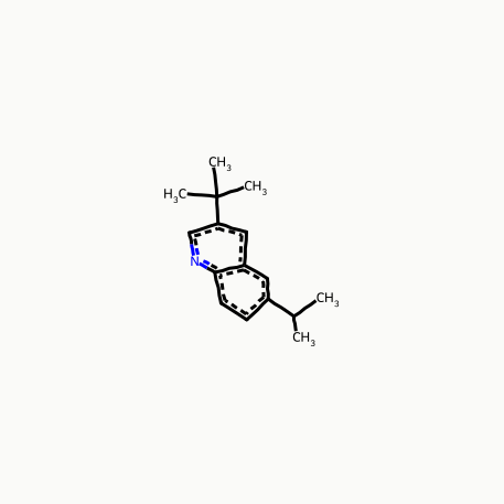 CC(C)c1ccc2ncc(C(C)(C)C)cc2c1